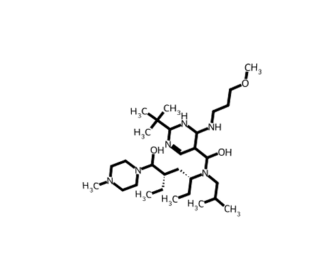 CC[C@@H](C[C@@H](CC)N(CC(C)C)C(O)C1C=NC(C(C)(C)C)NC1NCCCOC)C(O)N1CCN(C)CC1